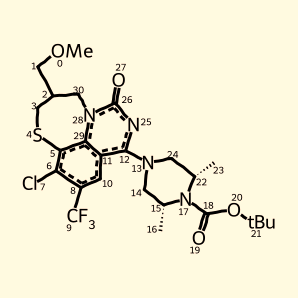 COCC1CSc2c(Cl)c(C(F)(F)F)cc3c(N4C[C@@H](C)N(C(=O)OC(C)(C)C)[C@@H](C)C4)nc(=O)n(c23)C1